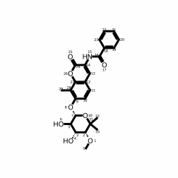 CO[C@@H]1[C@H](O)C(O)[C@H](Oc2ccc3cc(NC(=O)c4ccccc4)c(=O)oc3c2C)OC1(C)C